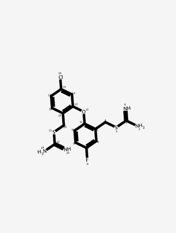 N=C(N)SCc1cc(F)ccc1Oc1cc(Cl)ccc1CSC(=N)N